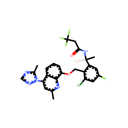 B[C@@](C)(NC(=O)CC(F)(F)F)c1cc(F)cc(Cl)c1COc1cccc2c(-n3ncnc3C)cc(C)nc12